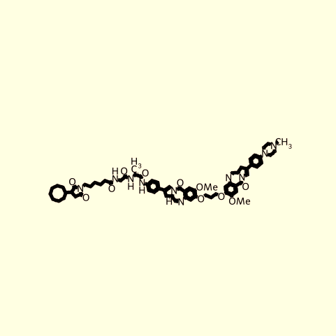 COc1cc2c(cc1OCCCOc1cc3c(cc1OC)C(=O)N1C=C(c4ccc(NC(=O)[C@H](C)NC(=O)CNC(=O)CCCCCN5C(=O)CC(C6CCCCCCC6)C5=O)cc4)C[C@H]1C=N3)N=CC1CC(c3ccc(N4CCN(C)CC4)cc3)=CN1C2=O